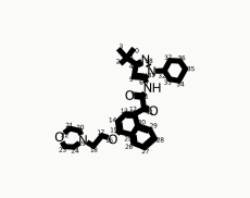 CC(C)(C)c1cc(NC(=O)C(=O)c2ccc(OCCN3CCOCC3)c3ccccc23)n(C2CCCCC2)n1